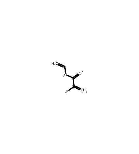 C=COC(=O)C(=C)F